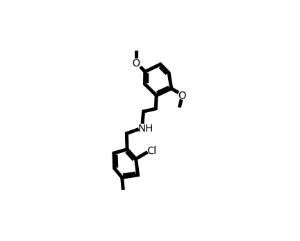 COc1ccc(OC)c(CCNCc2ccc(C)cc2Cl)c1